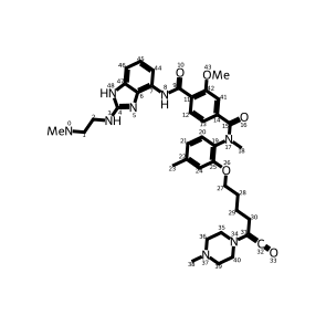 CNCCNc1nc2c(NC(=O)c3ccc(C(=O)N(C)c4ccc(C)cc4OCCCCC(=C=O)N4CCN(C)CC4)cc3OC)cccc2[nH]1